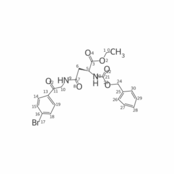 CCOC(=O)[C@H](CC(=O)NCC(=O)c1ccc(Br)cc1)NC(=O)OCc1ccccc1